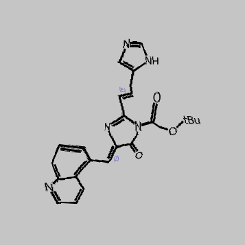 CC(C)(C)OC(=O)N1C(=O)/C(=C/c2cccc3ncccc23)N=C1/C=C/c1cnc[nH]1